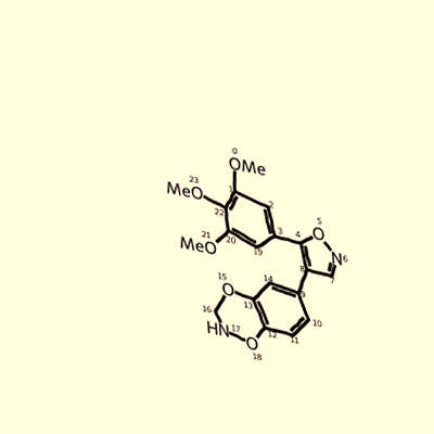 COc1cc(-c2oncc2-c2ccc3c(c2)OCNO3)cc(OC)c1OC